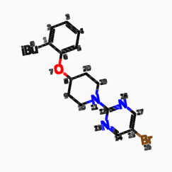 CCC(C)c1ccccc1OC1CCN(c2ncc(Br)cn2)CC1